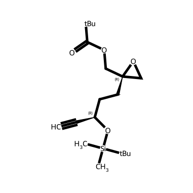 C#C[C@@H](C[CH][C@]1(COC(=O)C(C)(C)C)CO1)O[Si](C)(C)C(C)(C)C